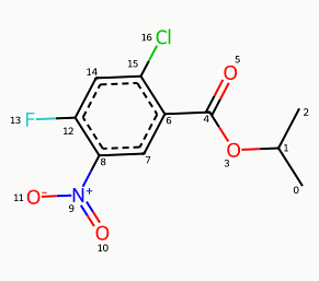 CC(C)OC(=O)c1cc([N+](=O)[O-])c(F)cc1Cl